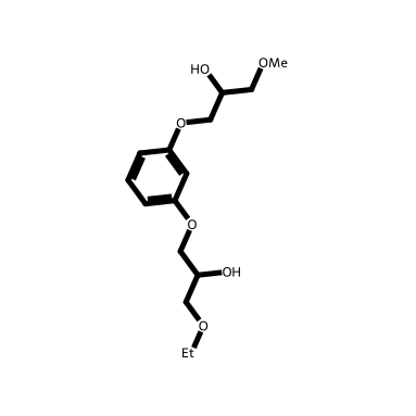 CCOCC(O)COc1cccc(OCC(O)COC)c1